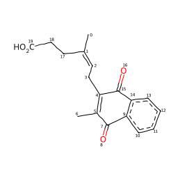 CC(=CCC1=C(C)C(=O)c2ccccc2C1=O)CCC(=O)O